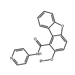 CC(C)Oc1ccc2oc3ccccc3c2c1C(=O)Nc1ccncc1